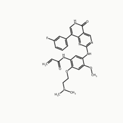 C=CC(=O)Nc1cc(Nc2ncc3c(=O)[nH]cc(-c4cccc(F)c4)c3n2)c(OC)cc1OCCN(C)C